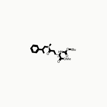 COC(=O)[C@H](CCC(=O)N(C)CC(C)c1ccccc1)NC(=O)OC(C)(C)C